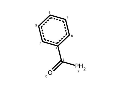 O=C(P)c1ccccc1